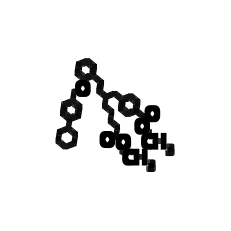 CCOC(=O)CCCCC(/C=C/c1ccccc1OCc1ccc(C2CCCCC2)cc1)Cc1ccc(C(=O)OCC)cc1